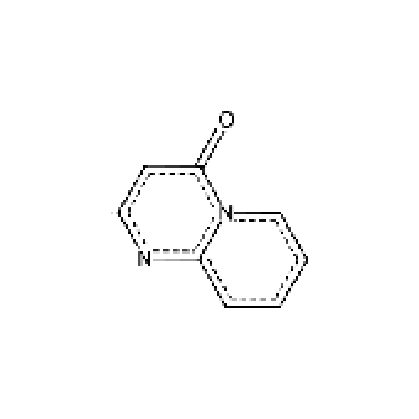 O=c1c[c]nc2ccccn12